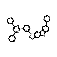 c1ccc(-c2ccc3sc4cc5c(cc4c3c2)N(c2cccc(-c3nc(-c4ccccc4)nc(-c4ccccc4)n3)c2)CC5)cc1